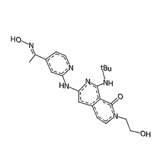 C/C(=N\O)c1ccnc(Nc2cc3ccn(CCO)c(=O)c3c(NC(C)(C)C)n2)c1